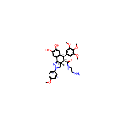 C=C(/C=C\C(=C/C)N1C[C@@H]2C(=N1)c1cc(O)c(O)cc1[C@@H](c1cc(OC)c(OC)c(OC)c1)[C@H]2C(=O)NCCN)OC